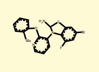 CC(C)(C)c1ccccc1Oc1ncccc1N1c2c(F)cc(Br)cc2SC1N